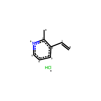 C=Cc1cccnc1C.Cl